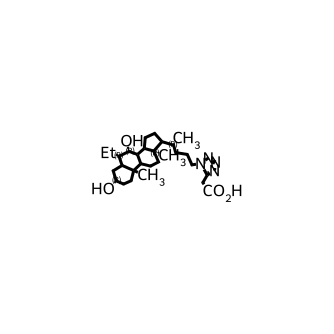 CC[C@@H]1C2C[C@H](O)CCC2(C)C2CC[C@@]3(C)C(CCC3[C@H](C)CCCn3nnnc3CC(=O)O)C2[C@@H]1O